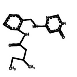 CCC(C)CC(=O)Nc1ccccc1CNc1cc(=O)[nH]cn1